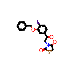 O=C(CN1C(=O)CSC1=O)c1ccc(I)c(OCc2ccccc2)c1